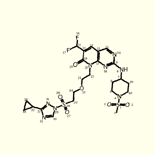 CS(=O)(=O)N1CCC(Nc2ncc3cc(C(F)F)c(=O)n(CCOCCS(=O)(=O)n4cnc(C5CC5)n4)c3n2)CC1